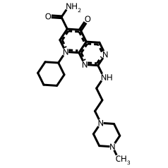 CN1CCN(CCCNc2ncc3c(=O)c(C(N)=O)cn(C4CCCCC4)c3n2)CC1